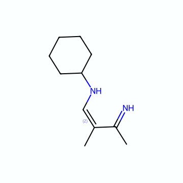 CC(=N)/C(C)=C\NC1CCCCC1